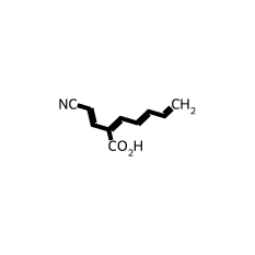 C=CC=CC=C(C=CC#N)C(=O)O